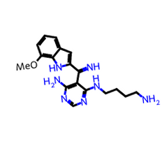 COc1cccc2cc(C(=N)c3c(N)ncnc3NCCCCN)[nH]c12